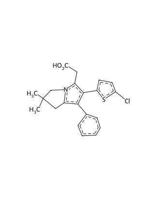 CC1(C)Cc2c(-c3ccccc3)c(-c3ccc(Cl)s3)c(CC(=O)O)n2C1